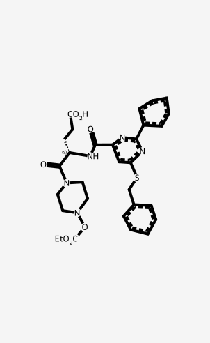 CCOC(=O)ON1CCN(C(=O)[C@H](CCC(=O)O)NC(=O)c2cc(SCc3ccccc3)nc(-c3ccccc3)n2)CC1